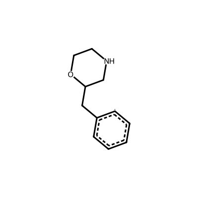 [c]1ccccc1CC1CNCCO1